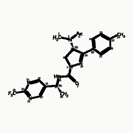 CC(=O)N(C)[C@H]1CN(C(=O)N[C@H](C)c2cnc(C(F)(F)F)nc2)N=C1c1ccc(C)cc1